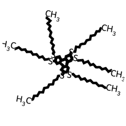 CCCCCCCCCCCCCSc1cc2c3cc(SCCCCCCCCCCCCC)c(SCCCCCCCCCCCCC)cc3c3cc(SCCCCCCCCCCCCC)c(SCCCCCCCCCCCCC)cc3c2cc1SCCCCCCCCCCCCC